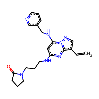 C=Cc1cnn2c(NCc3cccnc3)cc(NCCCN3CCCC3=O)nc12